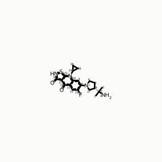 CC(C)(N)[C@H]1CCN(c2cc3c(cc2F)c(=O)c2c(=O)[nH]sc2n3C2CC2)C1